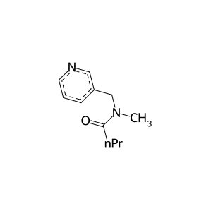 CCCC(=O)N(C)Cc1cccnc1